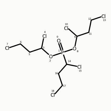 O=P(OC(Cl)CCCl)(OC(Cl)CCCl)C(Cl)CCCl